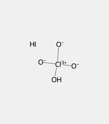 I.[O-][Cl+3]([O-])([O-])O